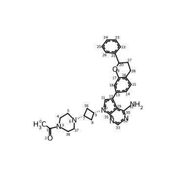 CC(=O)N1CCN([C@H]2C[C@@H](n3cc(-c4ccc5c(c4)OC(c4ccccc4)CC5)c4c(N)ncnc43)C2)CC1